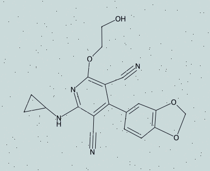 N#Cc1c(NC2CC2)nc(OCCO)c(C#N)c1-c1ccc2c(c1)OCO2